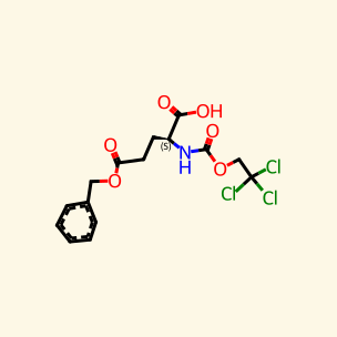 O=C(CC[C@H](NC(=O)OCC(Cl)(Cl)Cl)C(=O)O)OCc1ccccc1